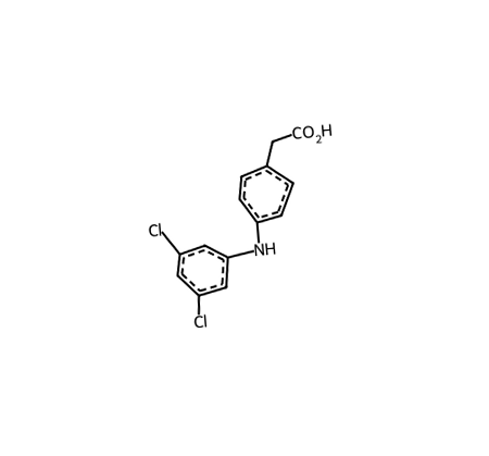 O=C(O)Cc1ccc(Nc2cc(Cl)cc(Cl)c2)cc1